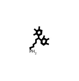 Cc1ccc(C(CCCCCP)c2ccc(C)c(C)c2C)c(C)c1C